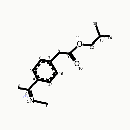 C/N=C(/C)c1ccc(CC(=O)OCC(C)C)cc1